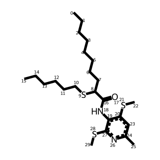 CCCCCCCCC(SCCCCCC)C(=O)Nc1c(SC)cc(C)nc1SC